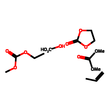 C=CC.CCOC(=O)OC.COC(=O)OC.O=C(O)O.O=C1OCCO1